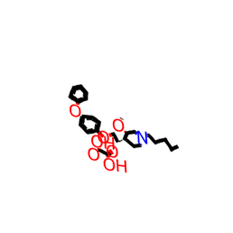 CCCCCN1CC[C@H](CCOc2ccc(Oc3ccccc3)cc2)[C@@H](OC)C1.O=C(O)C(=O)O